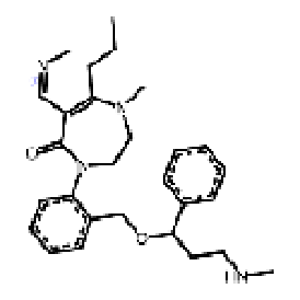 CCCC1=C(/C=N\C)C(=O)N(c2ccccc2COC(CCNC)c2ccccc2)CCN1C